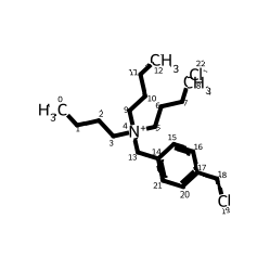 CCCC[N+](CCCC)(CCCC)Cc1ccc(CCl)cc1.[Cl-]